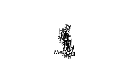 [2H]c1c([2H])c(OC)c(C(=O)NC([2H])([2H])C([2H])([2H])c2c([2H])c([2H])c(S(=O)(=O)NC(=O)NC3CCCCC3)c([2H])c2[2H])c([2H])c1Cl